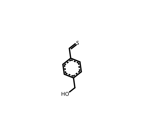 OCc1ccc(C=S)cc1